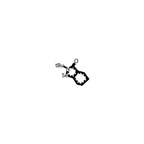 CC(C)(C)n1[se]c2ccccc2c1=O